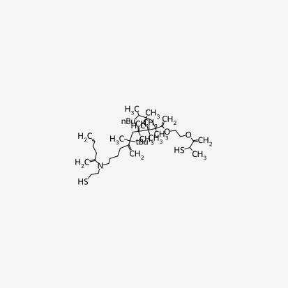 C=CCCC(=C)N(CCS)CCCCC(=C)C(C)(CC(C)(C)C(C)(C)C(C)(CC(C)(C)C(C)CCCC)C(=C)OCCOC(=C)C(C)S)C(C)(C)C